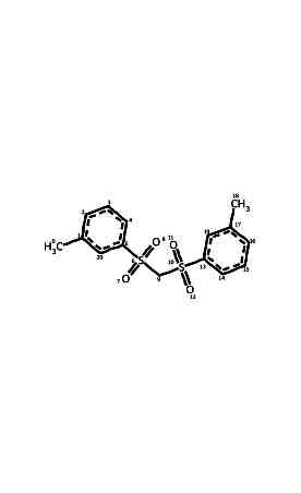 Cc1cccc(S(=O)(=O)CS(=O)(=O)c2cccc(C)c2)c1